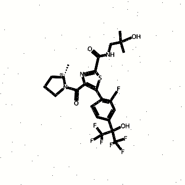 C[C@H]1CCCN1C(=O)c1nc(C(=O)NCC(C)(C)O)sc1-c1ccc(C(O)(C(F)(F)F)C(F)(F)F)cc1F